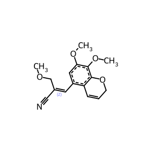 COC/C(C#N)=C\c1cc(OC)c(OC)c2c1C=CCO2